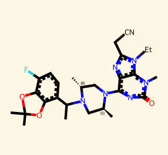 CCn1c(CC#N)nc2c(N3C[C@@H](C)N(C(C)c4ccc(F)c5c4OC(C)(C)O5)C[C@@H]3C)nc(=O)n(C)c21